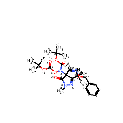 CC(=NOCc1ccccc1)C1(N(OC(=O)OC(C)(C)C)C(=O)OC(C)(C)C)C(=O)N(C)N=C1C(C)(C)C